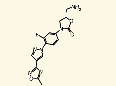 Cc1nc(-c2cnn(-c3ccc(N4C[C@H](CN)OC4=O)cc3F)c2)no1